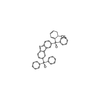 CC1CC=CC=C1P(=O)(c1ccccc1)c1ccc2sc3ccc(P(=O)(c4ccccc4)c4ccccc4)cc3c2c1